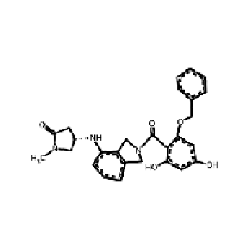 CN1C[C@@H](Nc2cccc3c2CN(C(=O)c2c(O)cc(O)cc2OCc2ccccc2)C3)CC1=O